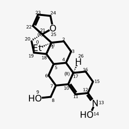 CC[C@]12CCC3C(CC(CO)C4=CC(=NO)CC[C@@H]43)C1CC[C@@]21C=CCO1